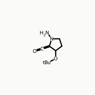 CC(C)(C)OC1CCN(N)C1=C=O